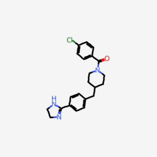 O=C(c1ccc(Cl)cc1)N1CCC(Cc2ccc(C3=NCCN3)cc2)CC1